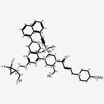 COC1CCN(C/C=C/C(=O)N2CCN(c3nc(OC[C@]4(CO)CC4(F)F)nc4c3COC(c3cccc5cccc(C#C[Si](C(C)C)(C(C)C)C(C)C)c35)C4)C[C@@H]2CC#N)CC1